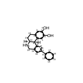 Oc1cc2c(cc1O)[C@@H]1c3sc(-c4ccccc4)cc3CN[C@H]1CC2